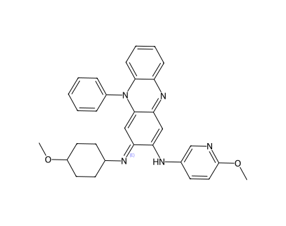 COc1ccc(Nc2cc3nc4ccccc4n(-c4ccccc4)c-3c/c2=N\C2CCC(OC)CC2)cn1